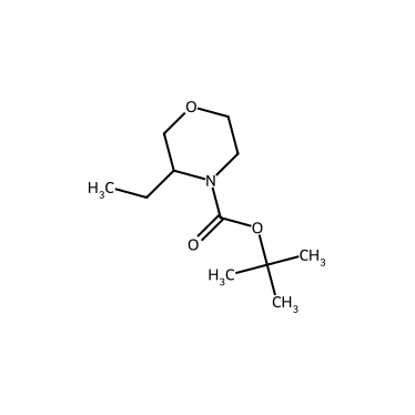 CCC1COCCN1C(=O)OC(C)(C)C